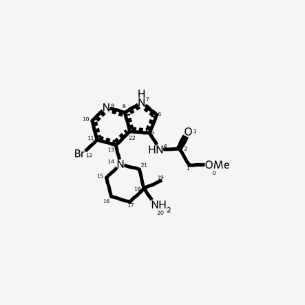 COCC(=O)Nc1c[nH]c2ncc(Br)c(N3CCCC(C)(N)C3)c12